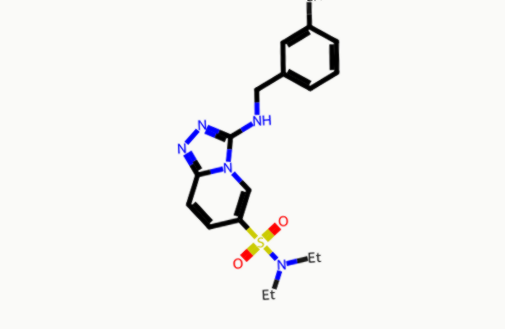 CCN(CC)S(=O)(=O)c1ccc2nnc(NCc3cccc(C#N)c3)n2c1